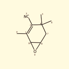 CC1=C(C#N)C(C)(C)CC2OC12